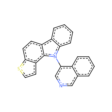 c1ccc2c(-n3c4ccccc4c4ccc5sccc5c43)cncc2c1